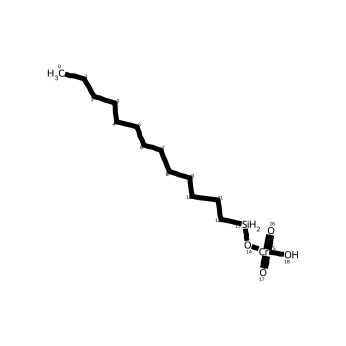 CCCCCCCCCCCCC[SiH2][O][Cr](=[O])(=[O])[OH]